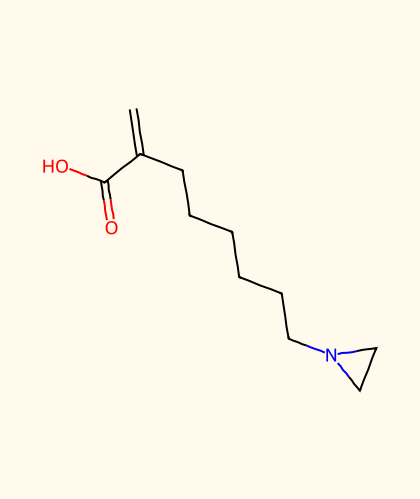 C=C(CCCCCCN1CC1)C(=O)O